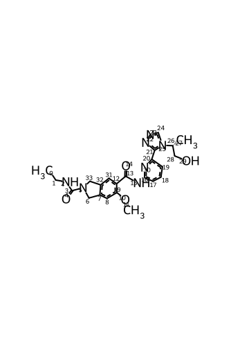 CCNC(=O)N1Cc2cc(OC)c(C(=O)Nc3cccc(-c4nncn4[C@H](C)CO)n3)cc2C1